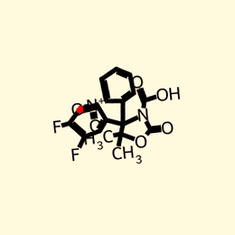 CC1(C)OC(=O)N(C(=O)O)C1(c1ccc(F)c(F)c1)c1ccccc1[N+](=O)[O-]